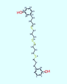 Oc1cccc(CCCSCCCSSCCCSCCCc2cccc(O)c2)c1